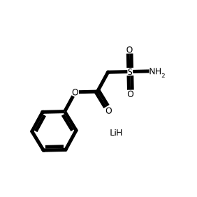 NS(=O)(=O)CC(=O)Oc1ccccc1.[LiH]